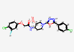 O=C(COc1ccc(Cl)c(F)c1)N[C@@H]1CCN(c2nnc(-c3ccc(Cl)cc3)o2)C[C@H]1O